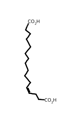 O=C(O)CC/C=C\CCCCCCCCCCC(=O)O